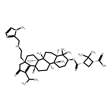 CC(C)C1=C2[C@H]3CC[C@@H]4[C@@]5(C)CC[C@H](OC(=O)[C@H]6C[C@@H](C(=O)O)C6(C)C)C(C)(C)[C@@H]5CC[C@@]4(C)[C@]3(C)CC[C@@]2(CCNCc2nccn2C)CC1=O